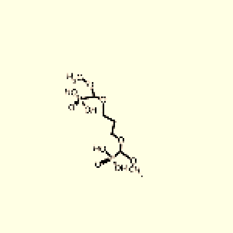 COC(OCCCOC(OC)P(=O)(O)O)P(=O)(O)O